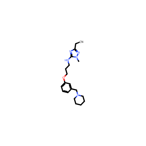 Cn1nc(CC#N)nc1NCCCOc1cccc(CN2CCCCC2)c1